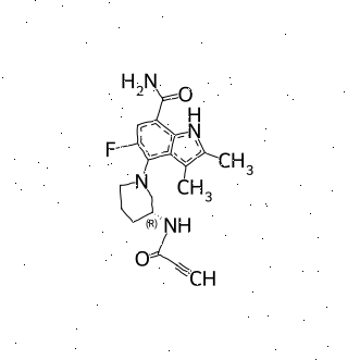 C#CC(=O)N[C@@H]1CCCN(c2c(F)cc(C(N)=O)c3[nH]c(C)c(C)c23)C1